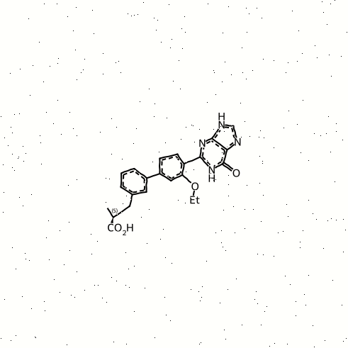 CCOc1cc(-c2cccc(C[C@H](C)C(=O)O)c2)ccc1-c1nc2[nH]cnc2c(=O)[nH]1